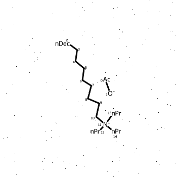 CC(=O)[O-].CCCCCCCCCCCCCCCCCC[N+](CCC)(CCC)CCC